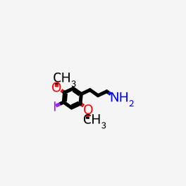 COc1cc(CCCN)c(OC)cc1I